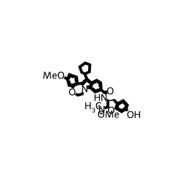 COc1ccc2c(c1)OCCn1c-2c(C2CCCCC2)c2ccc(C(=O)N[C@@H](Cc3ccc(O)cc3)C(=O)N(C)OC)cc21